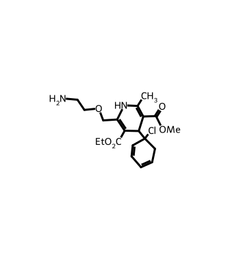 CCOC(=O)C1=C(COCCN)NC(C)=C(C(=O)OC)C1C1(Cl)C=CC=CC1